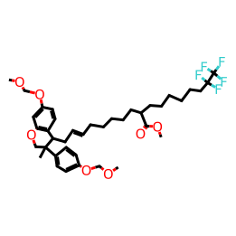 COCOc1ccc(C2(C)COc3cc(OCOC)ccc3C2CC=CCCCCCC(CCCCCCC(F)(F)C(F)(F)F)C(=O)OC)cc1